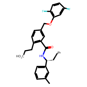 Cc1cccc([C@@H](CC(C)C)NC(=O)c2cc(COc3cc(F)ccc3F)ccc2CCC(=O)O)c1